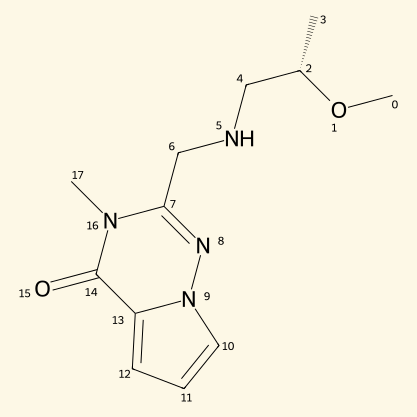 CO[C@@H](C)CNCc1nn2cccc2c(=O)n1C